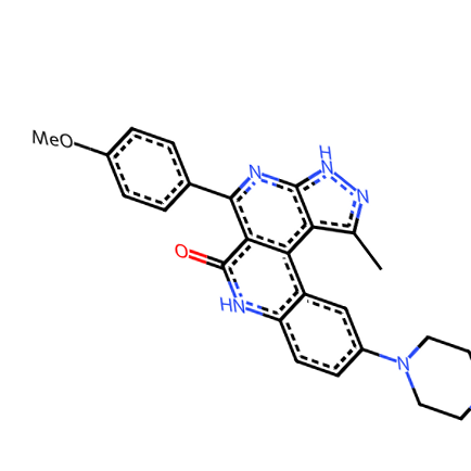 COc1ccc(-c2nc3[nH]nc(C)c3c3c2c(=O)[nH]c2ccc(N4CCNCC4)cc23)cc1